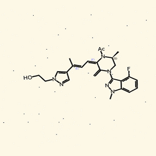 C=C1/C(=C\C=C(/C)c2cnn(CCO)c2)N(C(C)=O)[C@@H](C)CN1c1nn(C)c2cccc(F)c12